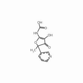 CC1(c2cccnc2)OC(NC(=O)O)=C(O)C1=O